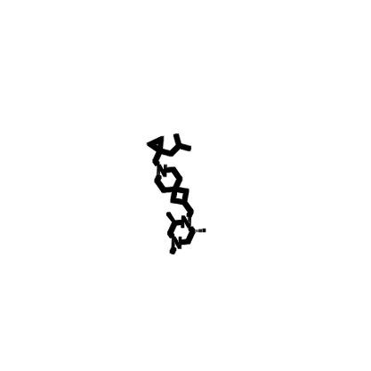 CC(C)CC1(CN2CCC3(CC2)CC(CN2[C@H](C)CN(C)C[C@H]2C)C3)CC1